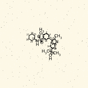 Cc1ccc(-c2c(C)nc3sc(C(C)(C)O)cn23)cc1S(=O)(=O)NC1CCCCC1